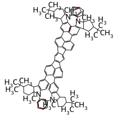 CC(C)(C)C1CCC2(C)C(C1)c1cc(-c3ccc4c5cc6c(cc5c5ccc(-c7ccc8c(c7)C7CC(C(C)(C)C)CCC7(C)N8c7ccccc7)c3c45)c3ccc(-c4ccc5c(c4)C4CC(C(C)(C)C)CCC4(C)N5c4ccccc4)c4c(-c5ccc7c(c5)C5CC(C(C)(C)C)CCC5(C)N7c5ccccc5)ccc6c43)ccc1N2c1ccccc1